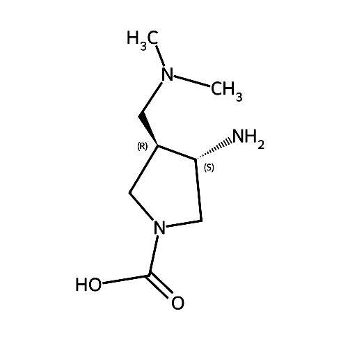 CN(C)C[C@@H]1CN(C(=O)O)C[C@H]1N